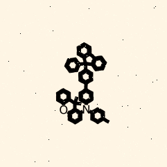 Cc1ccc(N(c2ccc(-c3ccc(C4(c5ccccc5)c5ccccc5-c5ccccc54)cc3)cc2)c2cccc3c2C(C)(C)c2ccccc2O3)cc1